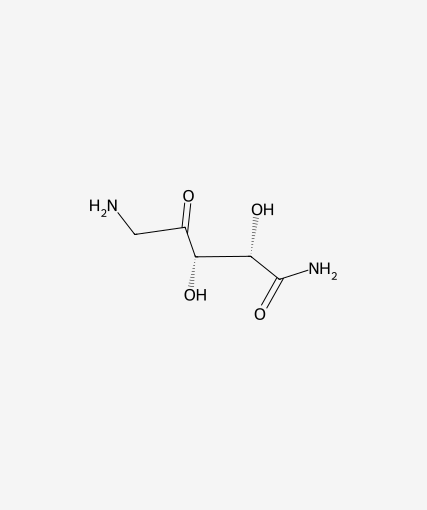 NCC(=O)[C@@H](O)[C@H](O)C(N)=O